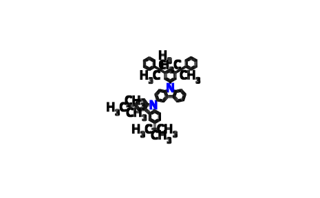 CC(C)(C)c1ccc2c(c1)c1cc(C(C)(C)C)ccc1n2-c1ccc2c(c1)c1ccccc1n2-c1cc(C(C)(C)c2ccccc2)cc(C(C)(C)c2ccccc2)c1